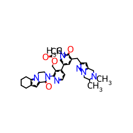 CC(=O)OCc1c(-c2cc(Cc3cc4n(n3)CC(C)N(C)C4)c(=O)n(C)c2)ccnc1N1CCn2c(cc3c2CCCC3)C1=O